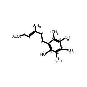 CC(=O)OCC=C(C)CCc1c(C)c(O)c(C)c(C)c1O